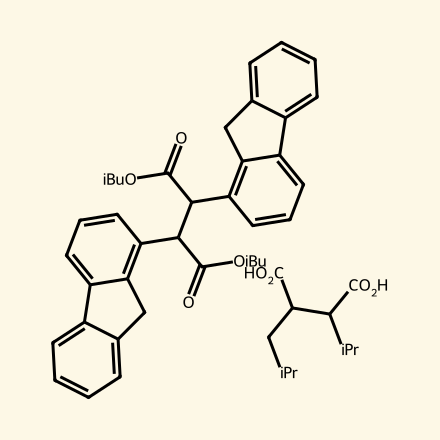 CC(C)CC(C(=O)O)C(C(=O)O)C(C)C.CC(C)COC(=O)C(c1cccc2c1Cc1ccccc1-2)C(C(=O)OCC(C)C)c1cccc2c1Cc1ccccc1-2